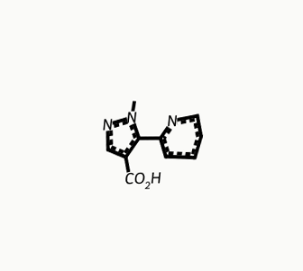 Cn1ncc(C(=O)O)c1-c1ccccn1